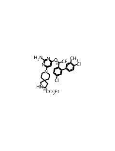 CCOC(=O)[C@@H]1CC2(CCN(c3cc(O[C@H](c4ccc(Cl)cc4-c4ccc(Cl)c(C)c4)C(F)(F)F)nc(N)n3)CC2)CN1